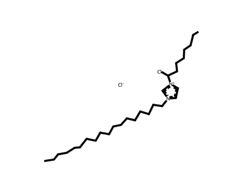 CCCCCCCCCCCCCCCCCCn1cc[n+](C(Cl)CCCCCCC)c1.[Cl-]